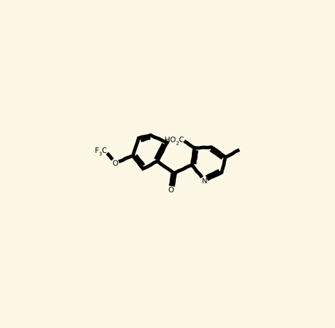 Cc1cnc(C(=O)c2cccc(OC(F)(F)F)c2)c(C(=O)O)c1